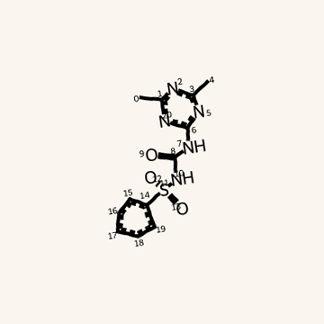 Cc1nc(C)nc(NC(=O)NS(=O)(=O)c2ccccc2)n1